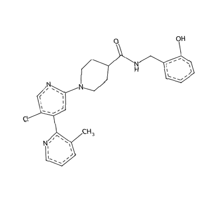 Cc1cccnc1-c1cc(N2CCC(C(=O)NCc3ccccc3O)CC2)ncc1Cl